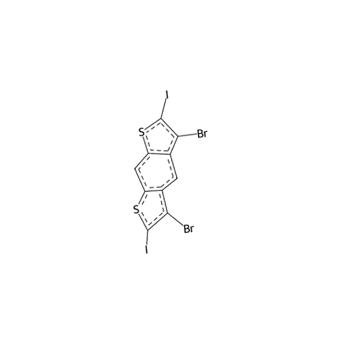 Brc1c(I)sc2cc3sc(I)c(Br)c3cc12